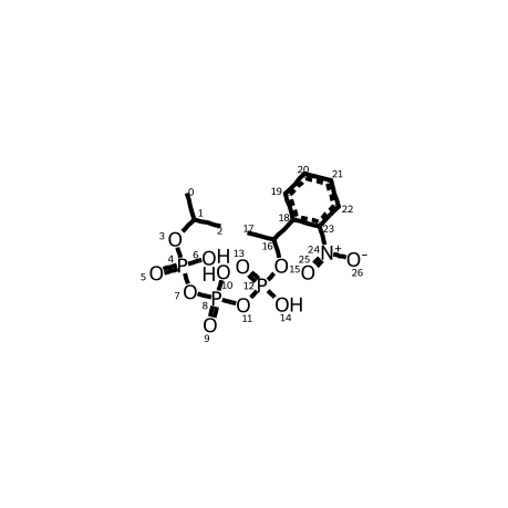 CC(C)OP(=O)(O)OP(=O)(O)OP(=O)(O)OC(C)c1ccccc1[N+](=O)[O-]